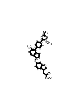 COC(=O)CC1COc2cc(O[C@@H]3CCc4c3ccc(C(F)(F)F)c4-c3ccc(-c4nc(C(F)(F)F)nn4C)cc3)ccc21